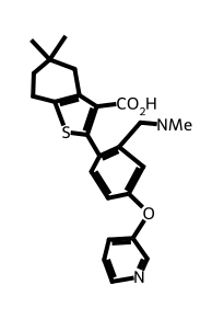 CNCc1cc(Oc2cccnc2)ccc1-c1sc2c(c1C(=O)O)CC(C)(C)CC2